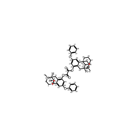 CN1CC[C@]23CCCC[C@H]2[C@H]1Cc1c(OC(=O)C(=O)Oc2cc(Oc4ccccc4)cc4c2C[C@@H]2[C@@H]5CCCC[C@]45CCN2C)cc(Oc2ccccc2)cc13